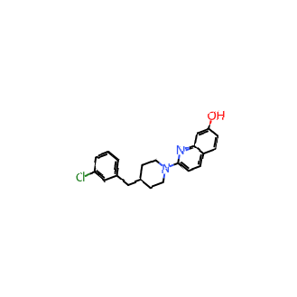 Oc1ccc2ccc(N3CCC(Cc4cccc(Cl)c4)CC3)nc2c1